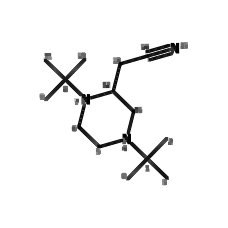 CC(C)(C)N1CCN(C(C)(C)C)C(CC#N)C1